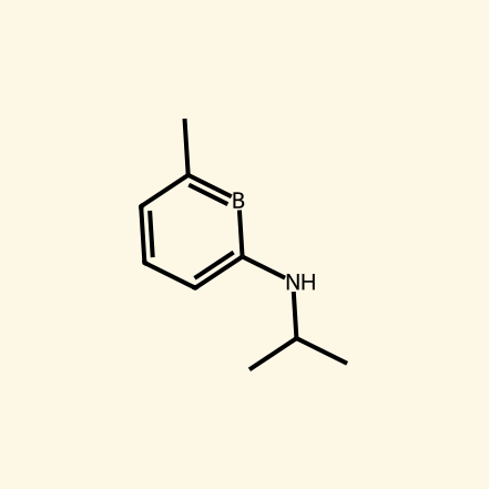 Cc1bc(NC(C)C)ccc1